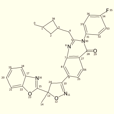 CC1CC(Cc2nc3cc(C4=NOC(C)(c5nc6ccccc6o5)C4)ccc3c(=O)n2-c2ccc(F)cc2)C1